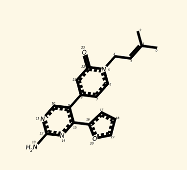 CC(C)=CCn1ccc(-c2cnc(N)nc2-c2ccco2)cc1=O